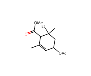 CCC1(C)CC(OC(C)=O)C=C(C)C1C(=O)OC